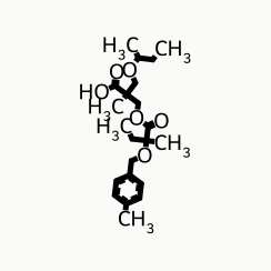 CCC(C)OCC(C)(COC(=O)C(C)(CC)OCc1ccc(C)cc1)C(=O)O